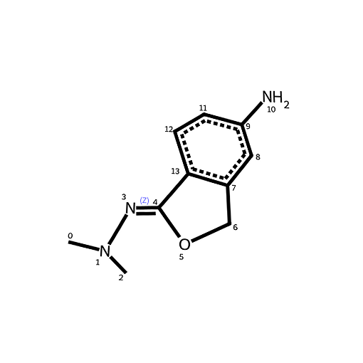 CN(C)/N=C1\OCc2cc(N)ccc21